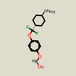 CCCCC[C@H]1CC[C@H](C(F)(F)Oc2ccc(OBO)cc2)CC1